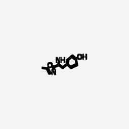 Cc1cnc(C(N)Cc2ccc(O)cc2)o1